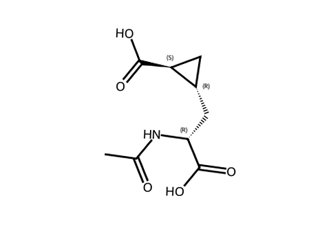 CC(=O)N[C@H](C[C@H]1C[C@@H]1C(=O)O)C(=O)O